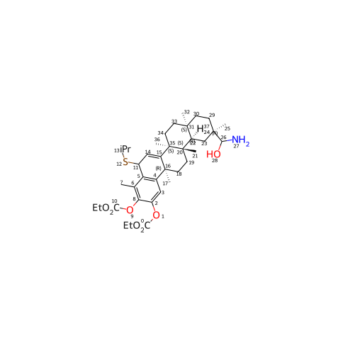 CCOC(=O)Oc1cc2c(c(C)c1OC(=O)OCC)C(SC(C)C)C=C1[C@@]2(C)CC[C@@]2(C)[C@@H]3C[C@](C)(C(N)O)CC[C@]3(C)CC[C@]12C